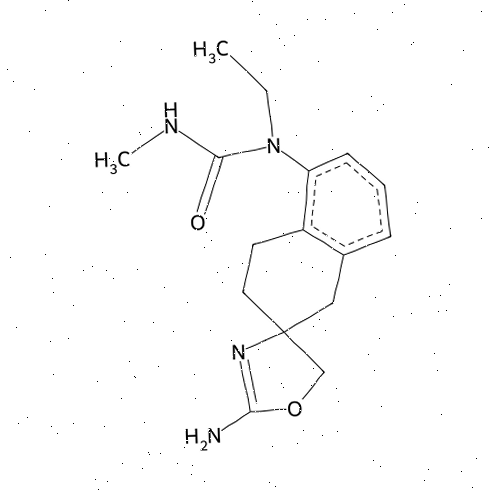 CCN(C(=O)NC)c1cccc2c1CCC1(COC(N)=N1)C2